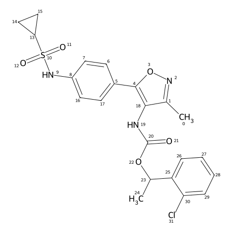 Cc1noc(-c2ccc(NS(=O)(=O)C3CC3)cc2)c1NC(=O)OC(C)c1ccccc1Cl